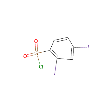 O=S(=O)(Cl)c1ccc(I)cc1I